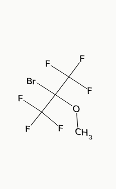 COC(Br)(C(F)(F)F)C(F)(F)F